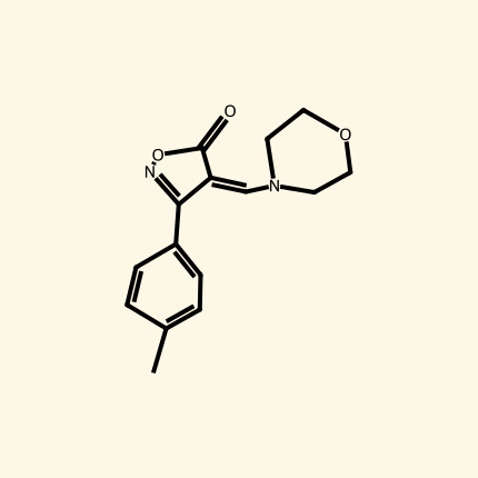 Cc1ccc(C2=NOC(=O)C2=CN2CCOCC2)cc1